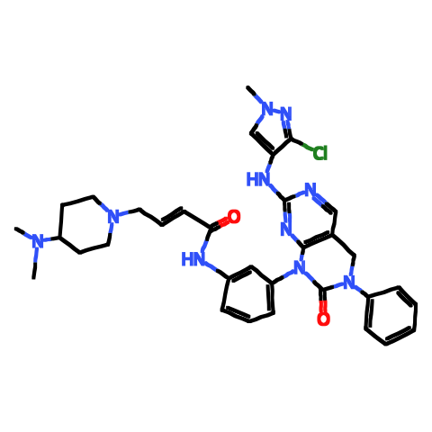 CN(C)C1CCN(C/C=C/C(=O)Nc2cccc(N3C(=O)N(c4ccccc4)Cc4cnc(Nc5cn(C)nc5Cl)nc43)c2)CC1